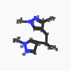 CC(C)c1nn(C(C)C)cc1CC(C)c1cnn(C(C)C)c1